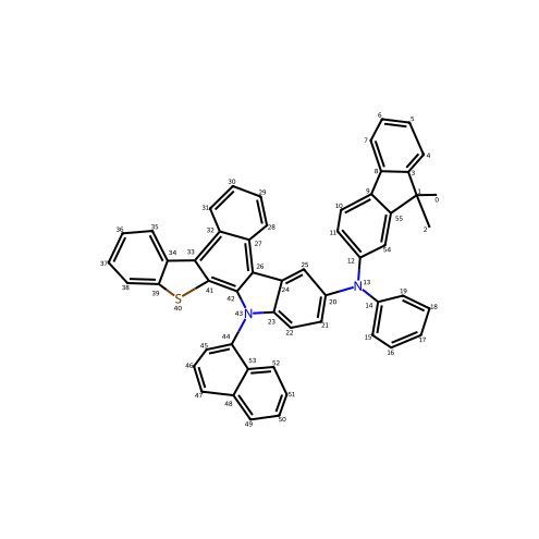 CC1(C)c2ccccc2-c2ccc(N(c3ccccc3)c3ccc4c(c3)c3c5ccccc5c5c6ccccc6sc5c3n4-c3cccc4ccccc34)cc21